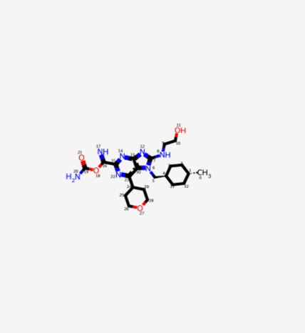 C[C@H]1CC[C@H](Cn2c(NCCO)nc3nc(C(=N)OC(N)=O)nc(C4CCOCC4)c32)CC1